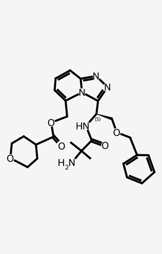 CC(C)(N)C(=O)N[C@H](COCc1ccccc1)c1nnc2cccc(COC(=O)C3CCOCC3)n12